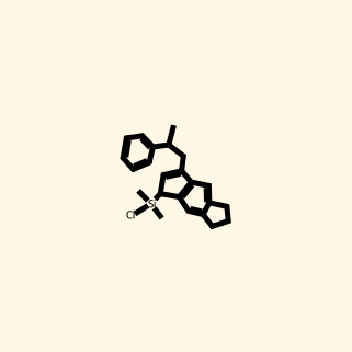 CC(CC1=CC([Si](C)(C)Cl)c2cc3c(cc21)CCC3)c1ccccc1